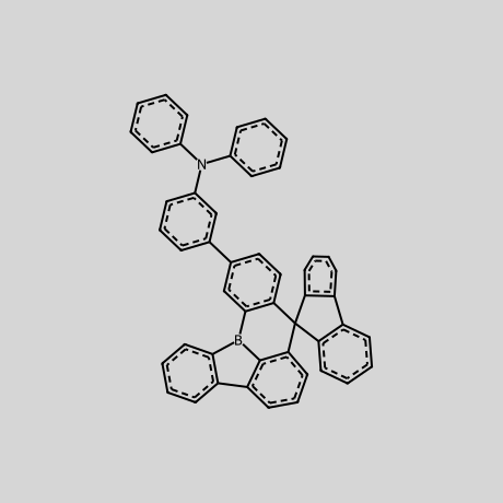 c1ccc(N(c2ccccc2)c2cccc(-c3ccc4c(c3)B3c5ccccc5-c5cccc(c53)C43c4ccccc4-c4ccccc43)c2)cc1